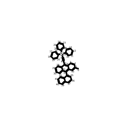 Cc1ccc2c(C#C[Si](c3ccccc3)(c3ccccc3)c3ccccc3)c3ccccc3c(-c3cccc4ccccc34)c2c1